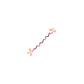 CS(=O)(=O)OCCCOCCCOCCCOS(C)(=O)=O